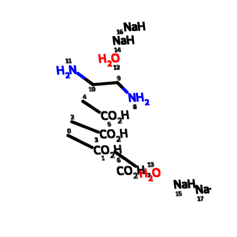 CC(=O)O.CC(=O)O.CC(=O)O.CC(=O)O.NCCN.O.O.[NaH].[NaH].[NaH].[Na]